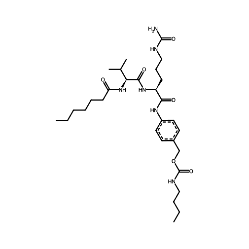 CCCCCCC(=O)N[C@H](C(=O)N[C@@H](CCCNC(N)=O)C(=O)Nc1ccc(COC(=O)NCCCC)cc1)C(C)C